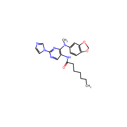 CCCCCCC(=O)Nc1cnc(-n2ccnc2)nc1N(C)c1ccc2c(c1)OCO2